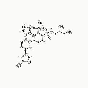 NCC(N)CNS(=O)(=O)c1ccc(-c2cccc(-c3n[nH]c(N)n3)c2)c(-c2nn[nH]n2)c1S(N)(=O)=O